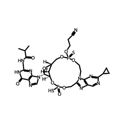 CC(C)C(=O)Nc1nc2c(ncn2[C@@H]2O[C@@H]3COP(=S)(OCCC#N)OCCn4c(nc5cnc(C6CC6)nc54)COP(=O)(S)O[C@@H]2[C@@H]3F)c(=O)[nH]1